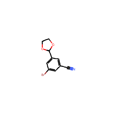 N#Cc1cc(Br)cc(C2OCCO2)c1